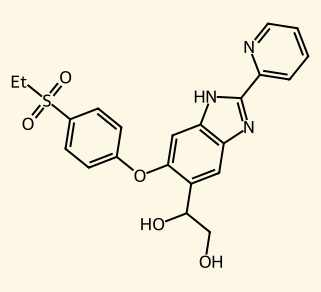 CCS(=O)(=O)c1ccc(Oc2cc3[nH]c(-c4ccccn4)nc3cc2C(O)CO)cc1